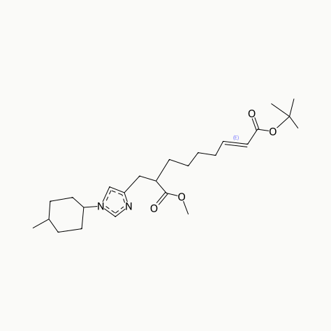 COC(=O)C(CCCC/C=C/C(=O)OC(C)(C)C)Cc1cn(C2CCC(C)CC2)cn1